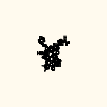 CC[C@@H]1C[C@]1(NC(=O)[C@@H]1C[C@@H](Oc2cc(-n3ccc(NC(C)C)n3)nc3cc(OCCN4CCOCC4)ccc23)CN1C(=O)[C@@H](NC(=O)OC1C[C@@H](C)[C@@H](C)C1)C(C)(C)C)C(=O)O